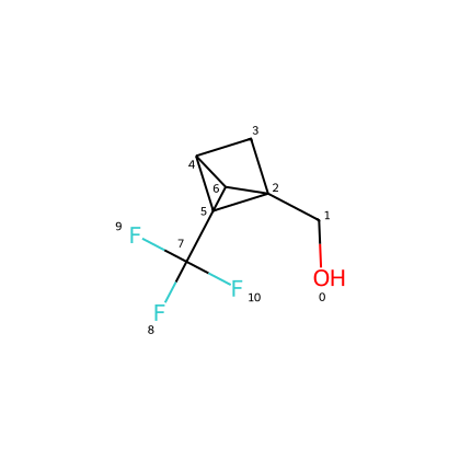 OCC12CC(C1)C2C(F)(F)F